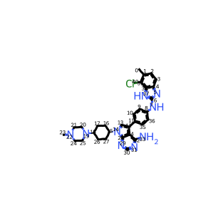 Cc1ccc2nc(Nc3ccc(-c4cn([C@H]5CC[C@H](N6CCN(C)CC6)CC5)c5ncnc(N)c45)cc3)[nH]c2c1Cl